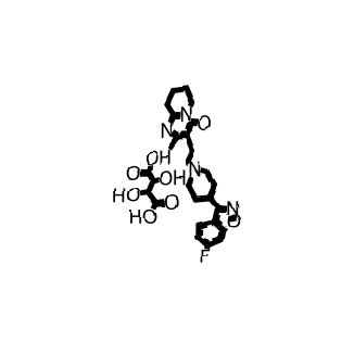 Cc1nc2n(c(=O)c1CCN1CCC(c3noc4cc(F)ccc34)CC1)CCCC2.O=C(O)C(O)C(O)C(=O)O